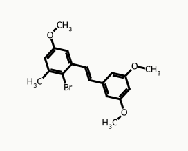 COc1cc(/C=C/c2cc(OC)cc(C)c2Br)cc(OC)c1